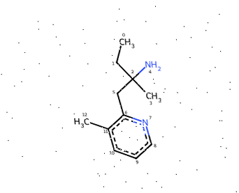 CCC(C)(N)Cc1ncccc1C